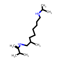 C=C(NCC(C)CCCCCCNC(C)C)C(C)C